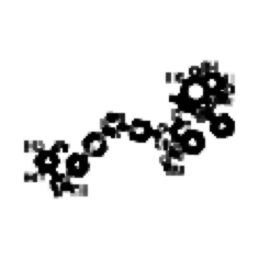 CC(=O)O[C@@]12CO[C@@H]1C[C@H](O)[C@@]1(C)C(=O)[C@H](O)C3=C(C)[C@@H](OC(=O)[C@H](OC(=O)C4CCN(c5ncnc(N6CCN(c7ccc(-n8c(O)nnc8-c8cc(C(C)C)c(O)cc8O)cc7)CC6)n5)CC4)[C@@H](NC(=O)OC(C)(C)C)c4ccccc4)CC(O)([C@@H](OC(=O)c4ccccc4)C12)C3(C)C